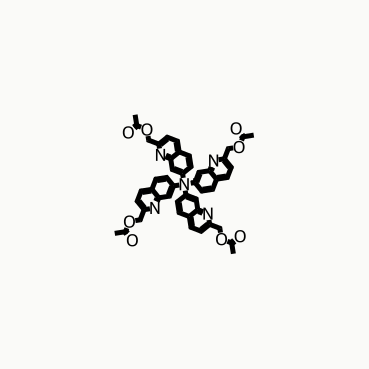 CC(=O)OCc1ccc2ccc([N+](c3ccc4ccc(COC(C)=O)nc4c3)(c3ccc4ccc(COC(C)=O)nc4c3)c3ccc4ccc(COC(C)=O)nc4c3)cc2n1